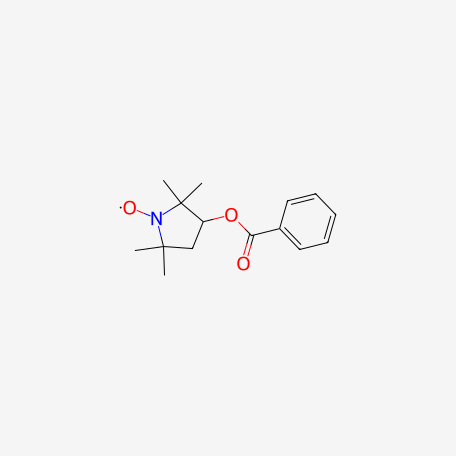 CC1(C)CC(OC(=O)c2ccccc2)C(C)(C)N1[O]